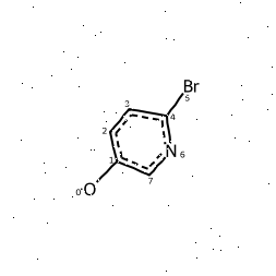 [O]c1ccc(Br)nc1